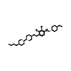 CCCC[C@H]1CC[C@H]([C@H]2CC[C@H](CCc3ccc(OC[C@H]4CC[C@H](CC)CC4)c(F)c3F)CC2)CC1